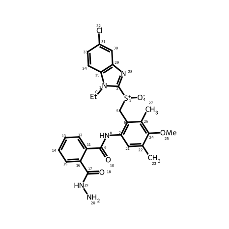 CCn1c([S+]([O-])Cc2c(NC(=O)c3ccccc3C(=O)NN)cc(C)c(OC)c2C)nc2cc(Cl)ccc21